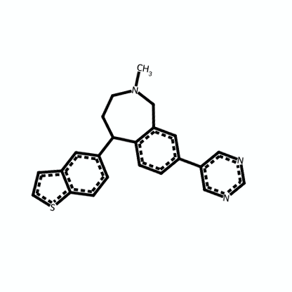 CN1CCC(c2ccc3sccc3c2)c2ccc(-c3cncnc3)cc2C1